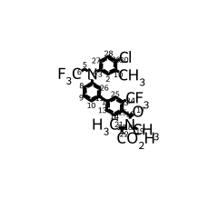 Cc1cc(N(CC(F)(F)F)c2cccc(-c3ccc(C(=O)N(C)C(C)C(=O)O)c(C(F)(F)F)c3)c2)ccc1Cl